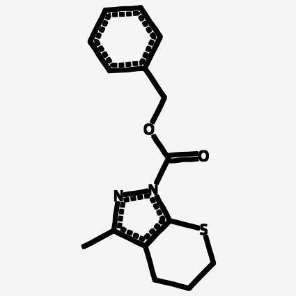 Cc1nn(C(=O)OCc2ccccc2)c2c1CCCS2